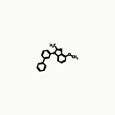 COc1cccc2c1nc(C)n2-c1cccc(-c2ccccc2)c1